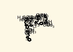 CC(C)COC(=O)[C@H](C)NC(=O)Cc1cc2ccccc2o1.CC(C)COC(=O)[C@H](C)NC(=O)Cc1ccc(Cl)s1.CC(C)COC(=O)[C@H](C)NC(=O)Cc1ccsc1Sc1ccccc1.CC(C)COC(=O)[C@H](C)NC(=O)Cc1csc2ccccc12.Cc1cc(CC(=O)N[C@@H](C)C(=O)OCC(C)C)on1